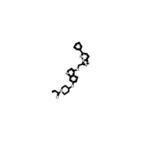 C=CC(=O)N1CCC(Oc2ccc3c(OCc4nnc5ccc(-c6ccccc6)nn45)ccnc3c2)CC1